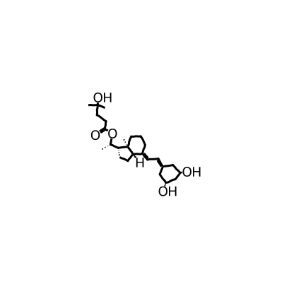 C[C@H](OC(=O)CCC(C)(C)O)[C@H]1CC[C@H]2/C(=C/C=C3C[C@@H](O)C[C@H](O)C3)CCC[C@]12C